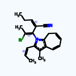 C/C=C\c1c(C)c2c(n1C(=C(/C)Br)/C(C#N)=C\CC)CC=CC=C2